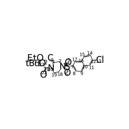 CCOC(=O)C1CN(S(=O)(=O)c2ccc3cc(Cl)ccc3c2)CCN1C(=O)OC(C)(C)C